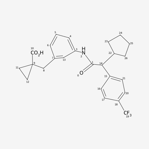 O=C(Nc1cccc(CC2(C(=O)O)CC2)c1)C(c1ccc(C(F)(F)F)cc1)C1CCCC1